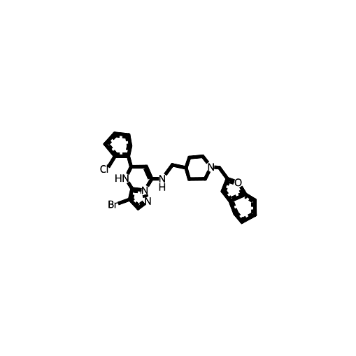 Clc1ccccc1C1C=C(NCC2CCN(Cc3cc4ccccc4o3)CC2)n2ncc(Br)c2N1